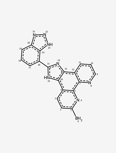 Bc1ccc2c(n1)c1ncccc1c1nc(-c3cccc4nn[nH]c34)[nH]c21